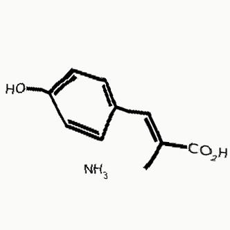 CC(=Cc1ccc(O)cc1)C(=O)O.N